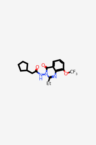 CCc1nc2c(OC(F)(F)F)cccc2c(=O)n1NC(=O)CC1CCCC1